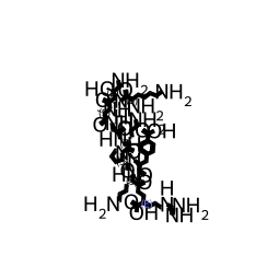 C[C@H](NC(=O)[C@@H](NC(=O)[C@@H](N)CCCCN)[C@@H](O)CN)C(=O)NCC(=O)N[C@H](CCCN)C(=O)N1CCC[C@H]1C(=O)NC(Cc1ccc(C(=O)O)cc1)C(=O)N[C@@H](CCCCN)C(=O)CC/C(=C\CCNC(=N)N)C(=O)O